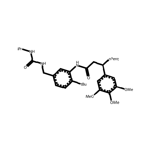 CCCCCC(CC(=O)Nc1cc(CNC(=O)NC(C)C)ccc1C(C)(C)C)c1cc(OC)c(OC)c(OC)c1